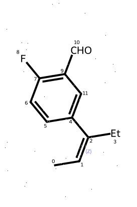 C/C=C(/CC)c1ccc(F)c(C=O)c1